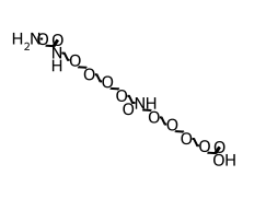 NOCC(=O)NCCOCCOCCOCCOCC(=O)NCCOCCOCCOCCOCC(=O)O